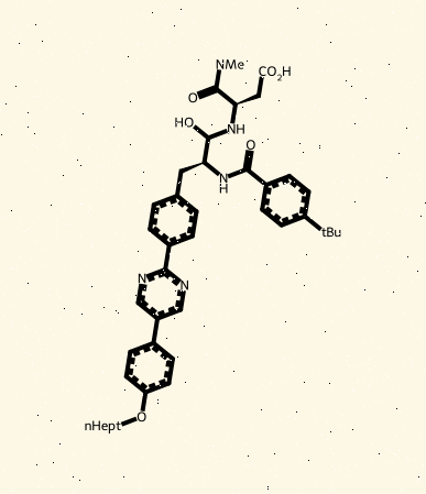 CCCCCCCOc1ccc(-c2cnc(-c3ccc(C[C@H](NC(=O)c4ccc(C(C)(C)C)cc4)C(O)N[C@H](CC(=O)O)C(=O)NC)cc3)nc2)cc1